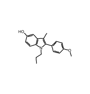 CCCn1c(-c2ccc(OC)cc2)c(C)c2cc(O)ccc21